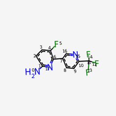 Nc1ccc(F)c(-c2ccc(C(F)(F)F)nc2)n1